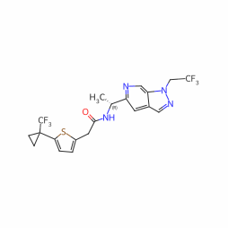 C[C@@H](NC(=O)Cc1ccc(C2(C(F)(F)F)CC2)s1)c1cc2cnn(CC(F)(F)F)c2cn1